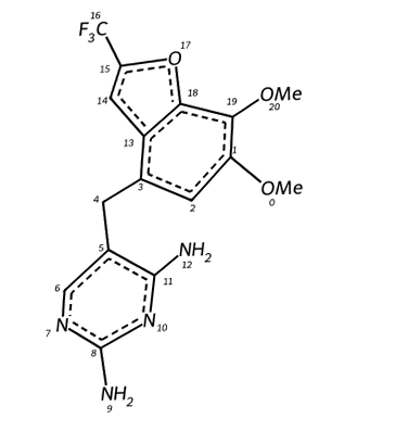 COc1cc(Cc2cnc(N)nc2N)c2cc(C(F)(F)F)oc2c1OC